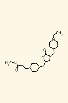 CCN1CCC(CN2CC(CN3CCN(CCC(=O)OC)CC3)OC2=O)CC1